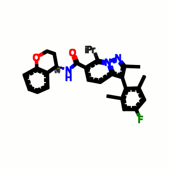 Cc1cc(F)cc(C)c1-c1c(C)nn2c(C(C)C)c(C(=O)N[C@H]3CCOc4ccccc43)ccc12